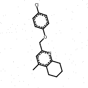 Cc1cc(COc2ccc(Cl)cc2)nc2c1CCCC2